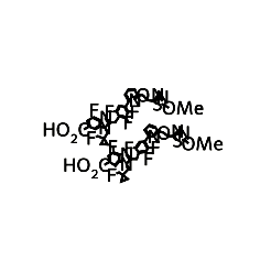 COc1nnc(COc2cccc(-c3cc(F)c(Cc4nc5c(F)cc(C(=O)O)cc5n4CC4(CF)CC4)c(F)c3F)n2)s1.COc1nnc(COc2cccc(-c3cc(F)c(Cc4nc5c(F)cc(C(=O)O)cc5n4CC4(CF)CC4)c(F)c3F)n2)s1